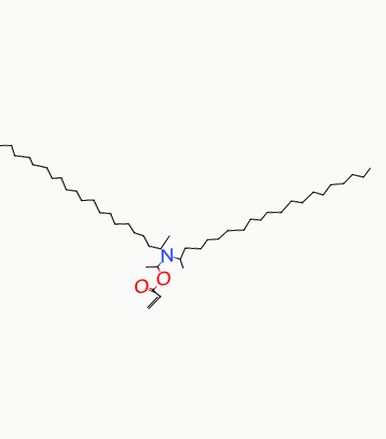 C=CC(=O)OC(C)N(C(C)CCCCCCCCCCCCCCCCCCC)C(C)CCCCCCCCCCCCCCCCCCC